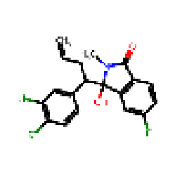 C=CCC(c1ccc(Cl)c(Cl)c1)C1(O)c2cc(F)ccc2C(=O)N1C